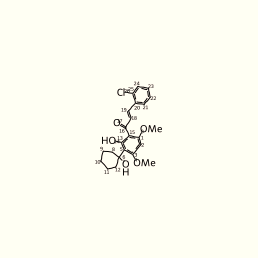 COc1cc(OC)c(C2(O)CCCCC2)c(O)c1C(=O)C=Cc1ccccc1Cl